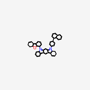 C1=Cc2c(oc3c(-n4c5ccccc5c5cc6c7c(n(-c8ccc(-c9cccc%10ccccc9%10)cc8)c6cc54)CCC=C7)cccc23)CC1